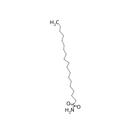 [CH2]CCCCCCCCCCCCCCCCCS(N)(=O)=O